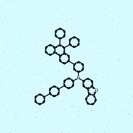 c1ccc(-c2ccc(-c3ccc(N(c4cccc(-c5ccc6c(c5)c(-c5ccccc5)c(-c5ccccc5)c5ccccc56)c4)c4ccc5oc6ccccc6c5c4)cc3)cc2)cc1